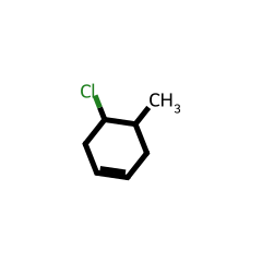 CC1CC=CCC1Cl